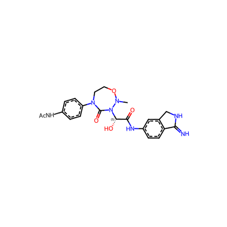 CC(=O)Nc1ccc(N2CCON(C)N([C@@H](O)C(=O)Nc3ccc4c(c3)CNC4=N)C2=O)cc1